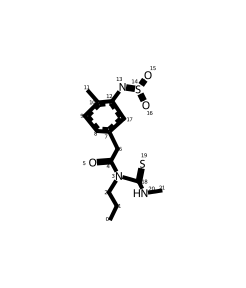 CCCN(C(=O)Cc1ccc(C)c(N=S(=O)=O)c1)C(=S)NC